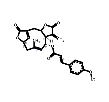 C=C1C(=O)OC2CC3=C[C@@H](C/C(C)=C/[C@@H](OC(=O)/C=C/c4ccc(OCC)cc4)[C@H]12)OC3=O